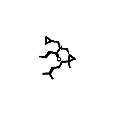 C/C=C/C(=O)N(CC1CC1)C[C@H]1CC1(C)CCC=C(C)C